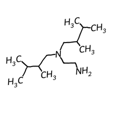 CC(C)C(C)CN(CCN)CC(C)C(C)C